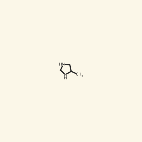 CC1CN[CH]N1